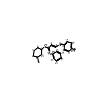 CC1CCCC(SC(C=CSc2ccc(F)cc2)=Nc2ccccc2)C1